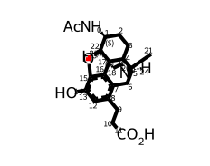 CC(=O)N[C@H]1CCC2[C@H]3Cc4c(CCC(=O)O)cc(O)c5c4[C@@]2(CCN3C)[C@H]1O5